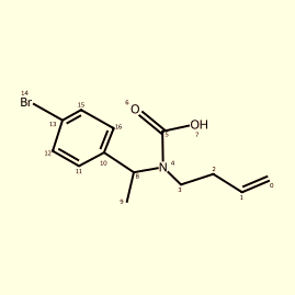 C=CCCN(C(=O)O)C(C)c1ccc(Br)cc1